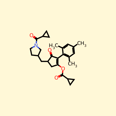 Cc1cc(C)c(C2=C(OC(=O)C3CC3)CC(CC3CCN(C(=O)C4CC4)C3)C2=O)c(C)c1